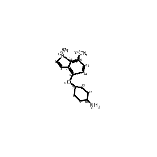 CC(C)n1ccc2c(OC3CCC(N)CC3)ccc(C#N)c21